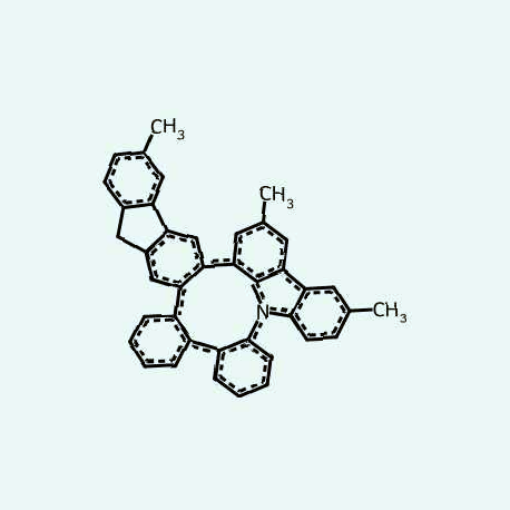 Cc1ccc2c(c1)-c1cc3c(cc1C2)c1ccccc1c1ccccc1n1c2ccc(C)cc2c2cc(C)cc3c21